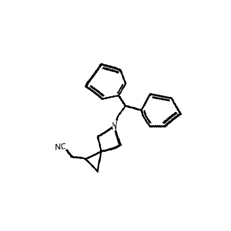 N#CCC1CC12CN(C(c1ccccc1)c1ccccc1)C2